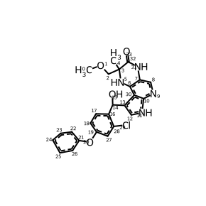 COCC1(C)Nc2c(cnc3[nH]cc(C(O)c4ccc(Oc5ccccc5)cc4Cl)c23)NC1=O